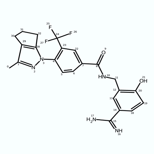 Cc1nn(-c2ccc(C(=O)NCc3cc(C(=N)N)ccc3O)cc2C(F)(F)F)c2c1CCC2